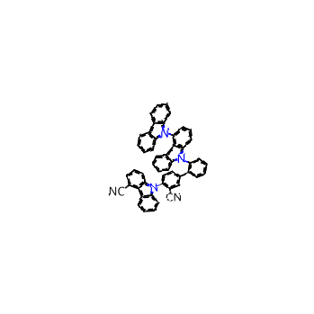 N#Cc1cc(-c2ccccc2-n2c3ccccc3c3c(-n4c5ccccc5c5ccccc54)cccc32)ccc1-n1c2ccccc2c2c(C#N)cccc21